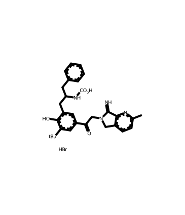 Br.Cc1ccc2c(n1)C(=N)N(CC(=O)c1cc(CC(Cc3ccccc3)NC(=O)O)c(O)c(C(C)(C)C)c1)C2